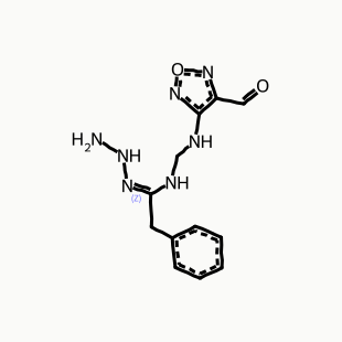 NN/N=C(/Cc1ccccc1)NCNc1nonc1C=O